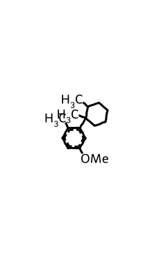 COc1ccc(C)c(C2(C)CCCCC2C)c1